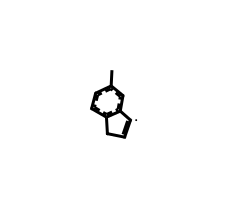 Cc1ccc2c(c1)[C]=CC2